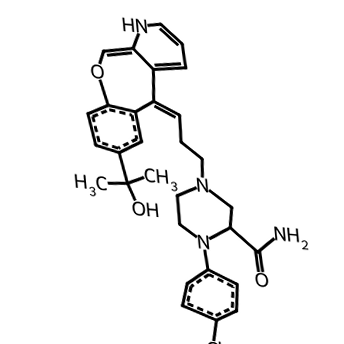 CC(C)(O)c1ccc2c(c1)C(=CCCN1CCN(c3ccc(Cl)cc3)C(C(N)=O)C1)C1=CC=CNC1=CO2